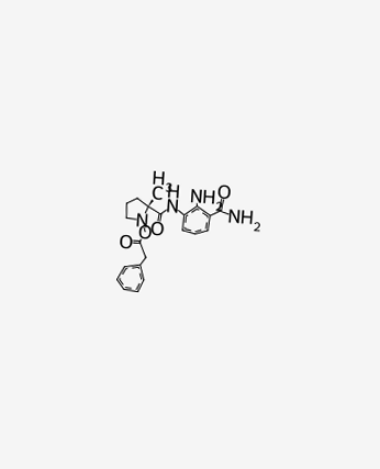 C[C@]1(C(=O)Nc2cccc(C(N)=O)c2N)CCCN1OC(=O)Cc1ccccc1